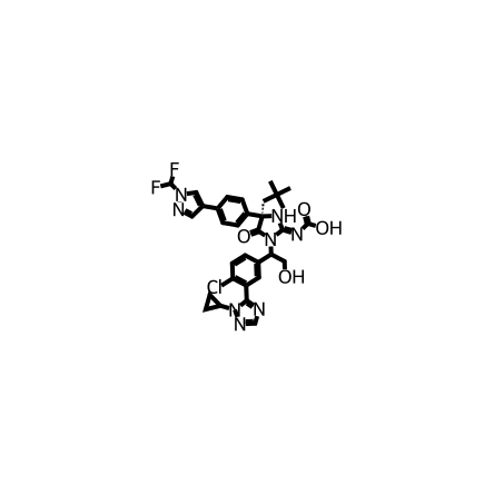 CC(C)(C)C[C@]1(c2ccc(-c3cnn(C(F)F)c3)cc2)NC(=NC(=O)O)N(C(CO)c2ccc(Cl)c(-c3ncnn3C3CC3)c2)C1=O